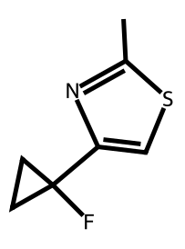 Cc1nc(C2(F)CC2)cs1